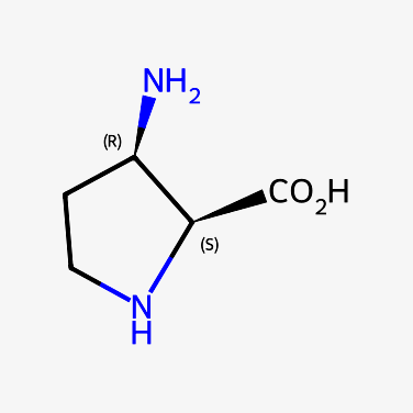 N[C@@H]1CCN[C@@H]1C(=O)O